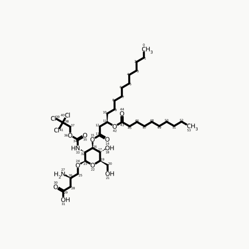 CCCCCCCCCCC[C@H](CC(=O)O[C@H]1[C@H](O)[C@@H](CO)O[C@@H](OC[C@H](N)CC(=O)O)[C@@H]1NC(=O)OCC(Cl)(Cl)Cl)OC(=O)CCCCCCCCC